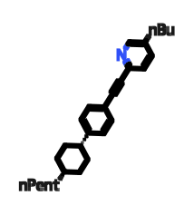 CCCCC[C@H]1CC[C@H](c2ccc(C#Cc3ccc(CCCC)cn3)cc2)CC1